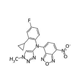 Cn1cc(N(c2ccc(F)cc2C2CC2)c2ccc([N+](=O)[O-])c3nonc23)nn1